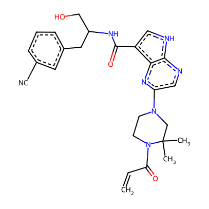 C=CC(=O)N1CCN(c2cnc3[nH]cc(C(=O)NC(CO)Cc4cccc(C#N)c4)c3n2)CC1(C)C